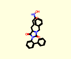 O=C(CCCC1C(=O)N(c2ccccc2-c2ccccc2)C(=O)N1Cc1ccccc1)NO